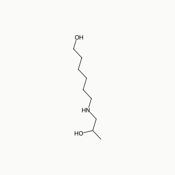 CC(O)CNCCCCCCO